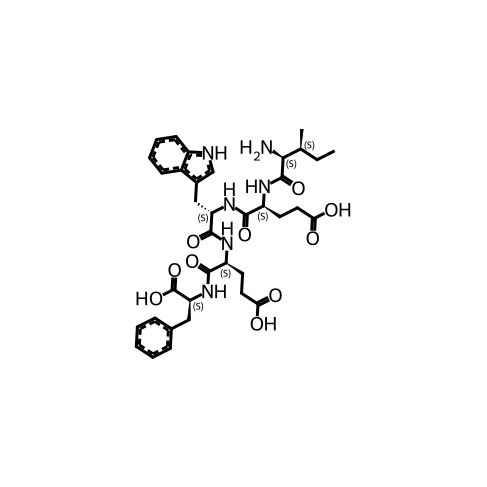 CC[C@H](C)[C@H](N)C(=O)N[C@@H](CCC(=O)O)C(=O)N[C@@H](Cc1c[nH]c2ccccc12)C(=O)N[C@@H](CCC(=O)O)C(=O)N[C@@H](Cc1ccccc1)C(=O)O